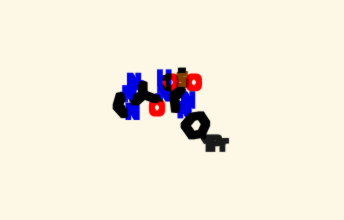 CC(C)[C@H]1CC[C@H](n2cc(NC(=O)c3cnn4cccnc34)c(S(C)(=O)=O)n2)CC1